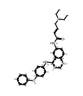 CCN(CC)CC=CC(=O)Nc1ccc2ncnc(Nc3ccc(Oc4ccccc4)cc3)c2c1